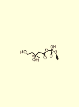 C#COP(=O)(O)OC(=O)C[C@](C)(O)CCO